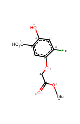 CC(C)(C)OC(=O)COc1cc(C(=O)O)c(O)cc1F